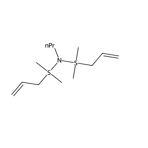 C=CCS(C)(C)N(CCC)S(C)(C)CC=C